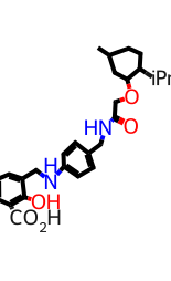 CC1CCC(C(C)C)C(OCC(=O)NCc2ccc(NCc3cccc(C(=O)O)c3O)cc2)C1